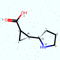 O=C(O)C1C[C@H]1[C@@H]1CCCN1